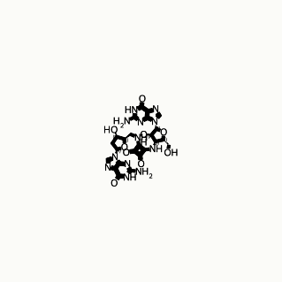 Nc1nc2c(ncn2[C@@H]2O[C@H](CO)[C@@H](Nc3c(NC[C@H]4O[C@@H](n5cnc6c(=O)[nH]c(N)nc65)C[C@@H]4O)c(=O)c3=O)[C@H]2O)c(=O)[nH]1